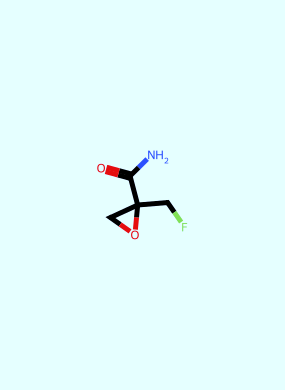 NC(=O)C1(CF)CO1